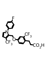 O=C(O)CCc1ccc(OCc2c(C(F)(F)F)ccn2-c2ccc(F)cc2)cc1C(F)(F)F